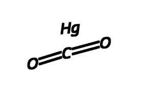 O=C=O.[Hg]